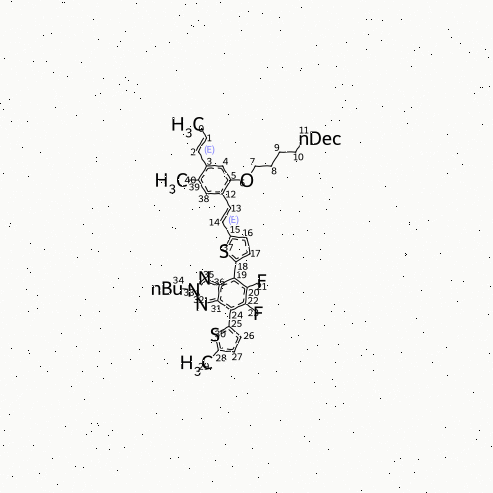 C/C=C/c1cc(OCCCCCCCCCCCCCC)c(/C=C/c2ccc(-c3c(F)c(F)c(-c4ccc(C)s4)c4nn(CCCC)nc34)s2)cc1C